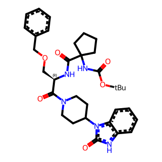 CC(C)(C)OC(=O)NC1(C(=O)N[C@H](COCc2ccccc2)C(=O)N2CCC(n3c(=O)[nH]c4ccccc43)CC2)CCCC1